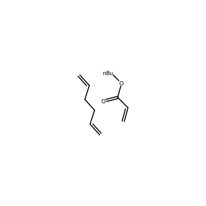 C=CC(=O)OCCCC.C=CCCC=C